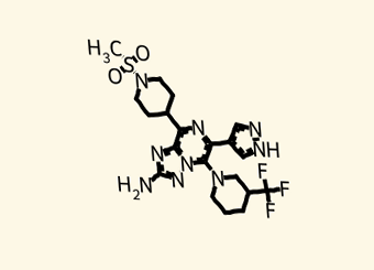 CS(=O)(=O)N1CCC(c2nc(-c3cn[nH]c3)c(N3CCCC(C(F)(F)F)C3)n3nc(N)nc23)CC1